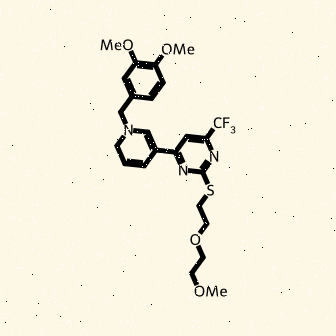 COCCOCCSc1nc(C2=CN(Cc3ccc(OC)c(OC)c3)CC=C2)cc(C(F)(F)F)n1